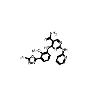 COc1c(Nc2nc(Nc3ccccn3)ncc2C(N)=O)cccc1-c1nnc(C(C)C)o1